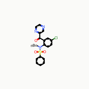 CCCCN(c1ccc(Cl)cc1C(=O)c1cnccn1)S(=O)(=O)c1ccccc1